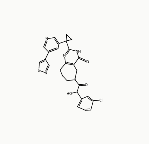 O=C(C(O)c1cccc(Cl)c1)N1CCCc2nc(C3(c4cncc(-c5cnsc5)c4)CC3)[nH]c(=O)c2C1